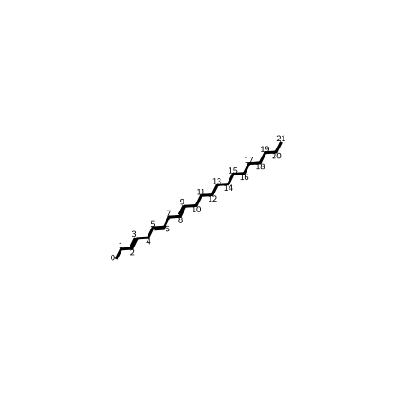 CCC=CCC=CCC=CCCCCCCCCCCCC